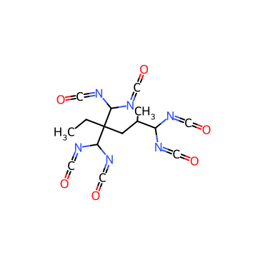 CCC(CC(C)C(N=C=O)N=C=O)(C(N=C=O)N=C=O)C(N=C=O)N=C=O